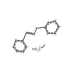 C(=Cc1ccccc1)Cc1ccccc1.CC(=O)O